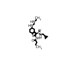 CCCC(=O)Nc1sc2c(c1[S+]([O-])NCC1CC1)CC(NCNCC)CC2